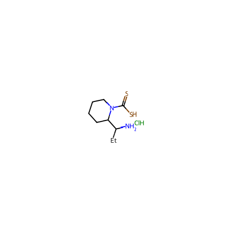 CCC(N)C1CCCCN1C(=S)S.Cl